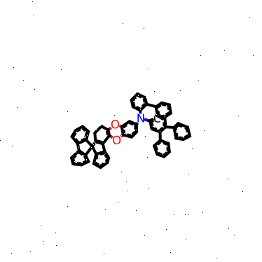 c1ccc(-c2ccc(N(c3ccc4c(c3)OC3=C(O4)C4=C(CC3)C3(c5ccccc54)c4ccccc4-c4ccccc43)c3ccccc3-c3ccccc3)cc2-c2ccccc2)cc1